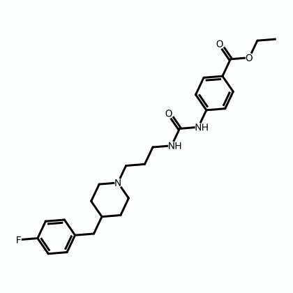 CCOC(=O)c1ccc(NC(=O)NCCCN2CCC(Cc3ccc(F)cc3)CC2)cc1